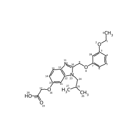 CCOc1cccc(OCc2nc3ccc(OCC(=O)O)cc3n2CC(C)C)c1